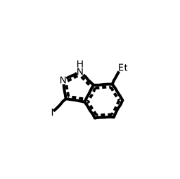 CCc1cccc2c(I)n[nH]c12